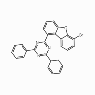 Brc1cccc2c1oc1cccc(-c3nc(-c4ccccc4)nc(C4C=CC=CC4)n3)c12